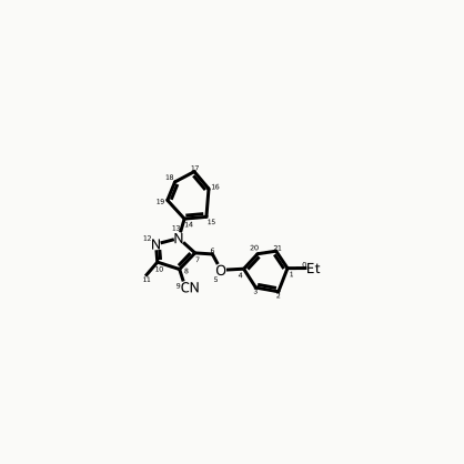 CCc1ccc(OCc2c(C#N)c(C)nn2-c2ccccc2)cc1